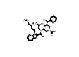 COCCCCn1c(C(=O)N(CC(C)C)[C@H]2C[C@@H](C(O)c3ccccn3)CN(C(=O)O)C2)nc2ccccc21